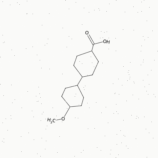 COC1CCC(C2CCC(C(=O)O)CC2)CC1